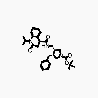 CC(C)N1C(=O)CC(C(=O)NC[C@@H]2CN(C(=O)OC(C)(C)C)C[C@H]2Cc2ccccc2)c2ccccc21